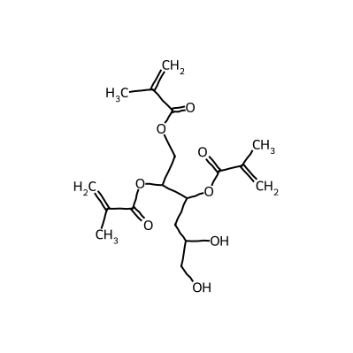 C=C(C)C(=O)OCC(OC(=O)C(=C)C)C(CC(O)CO)OC(=O)C(=C)C